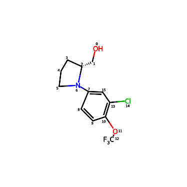 OC[C@H]1CCCN1c1ccc(OC(F)(F)F)c(Cl)c1